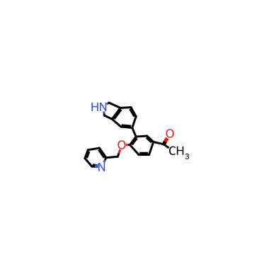 CC(=O)c1ccc(OCc2ccccn2)c(-c2ccc3c(c2)CNC3)c1